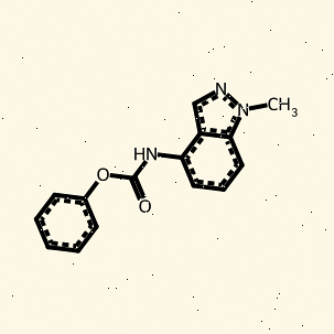 Cn1ncc2c(NC(=O)Oc3ccccc3)cccc21